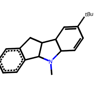 CN1C2C=CC(C(C)(C)C)=CC2C2Cc3ccccc3C21